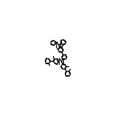 Cc1ccccc1-c1ccc(N(c2cccc(-c3ccc4c(c3)c3ccccc3n4-c3ccccc3)c2)c2ccc(-c3ccccc3C)c(C)c2)cc1C